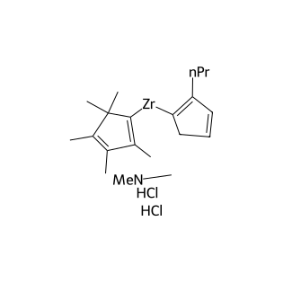 CCCC1=[C]([Zr][C]2=C(C)C(C)=C(C)C2(C)C)CC=C1.CNC.Cl.Cl